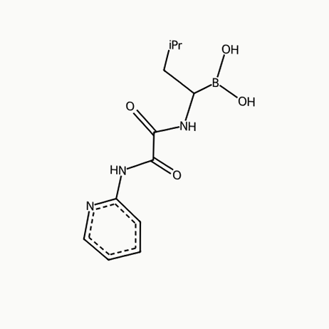 CC(C)CC(NC(=O)C(=O)Nc1ccccn1)B(O)O